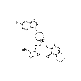 CCCC(CCC)C(=O)OC[N+]1(CCc2c(C)nc3n(c2=O)CCCC3)CCC(c2noc3cc(F)ccc23)CC1